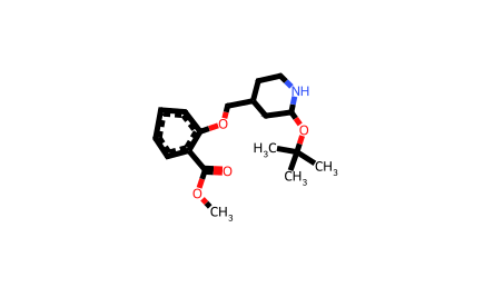 COC(=O)c1ccccc1OCC1[CH]C(OC(C)(C)C)NCC1